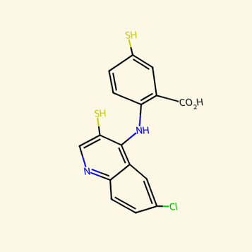 O=C(O)c1cc(S)ccc1Nc1c(S)cnc2ccc(Cl)cc12